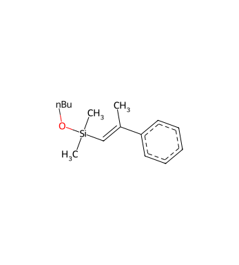 CCCCO[Si](C)(C)C=C(C)c1ccccc1